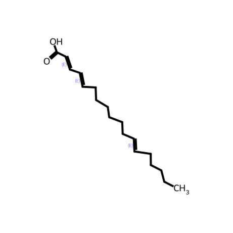 CCCCC/C=C/CCCCCC/C=C/C=C/C(=O)O